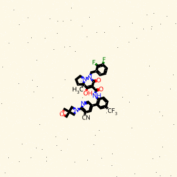 C[C@]12CCCN1N(Cc1cccc(F)c1F)C(=O)C(C(=O)Nc1ccc(C(F)(F)F)cc1-c1cnc(N3CC4(COC4)C3)c(C#N)c1)=C2O